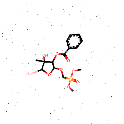 BC1OC(OCP(=O)(OC)OC)C(OC(=O)c2ccccc2)C1(C)O